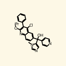 CC(C)Oc1nc2ccc(C(O)(c3ccncc3)c3cncn3C)cc2c(Cl)c1-c1ccccc1